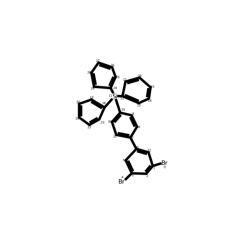 Brc1cc(Br)cc(-c2ccc([Si](c3ccccc3)(c3ccccc3)c3ccccc3)cc2)c1